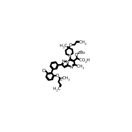 C=CCOC1(C)CCN(c2c(C(OC(C)(C)C)C(=O)O)c(C)nc3cc(-c4cccc(-c5c(Cl)cccc5O[C@@H](C)CC=C)c4)nn23)CC1